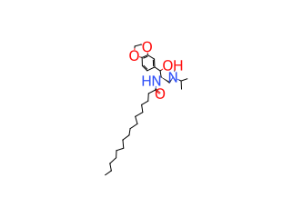 CCCCCCCCCCCCCCCC(=O)N[C@H](CN(C)C(C)C)C(O)c1ccc2c(c1)OCCO2